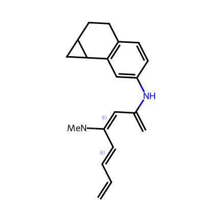 C=C/C=C/C(=C\C(=C)Nc1ccc2c(c1)C1CC1CC2)NC